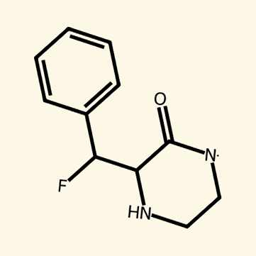 O=C1[N]CCNC1C(F)c1ccccc1